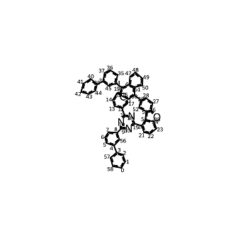 c1ccc(-c2cccc(-c3nc(-c4ccccc4)nc(-c4cccc5oc6ccc(-c7ccc(-c8cccc(-c9ccccc9)c8)c8ccccc78)cc6c45)n3)c2)cc1